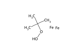 CC(C)(C)OO.[Fe].[Fe]